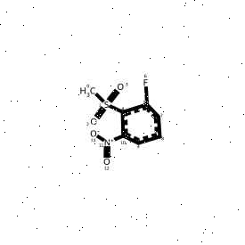 CS(=O)(=O)c1c(F)cccc1[N+](=O)[O-]